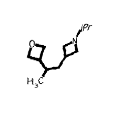 CC(CC1CN(C(C)C)C1)C1COC1